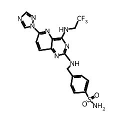 NS(=O)(=O)c1ccc(CNc2nc(NCC(F)(F)F)c3nc(-n4cncn4)ccc3n2)cc1